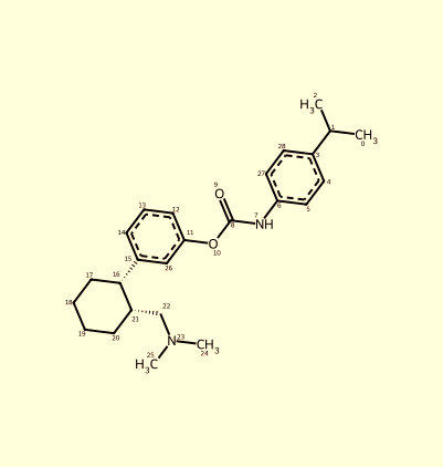 CC(C)c1ccc(NC(=O)Oc2cccc([C@H]3CCCC[C@H]3CN(C)C)c2)cc1